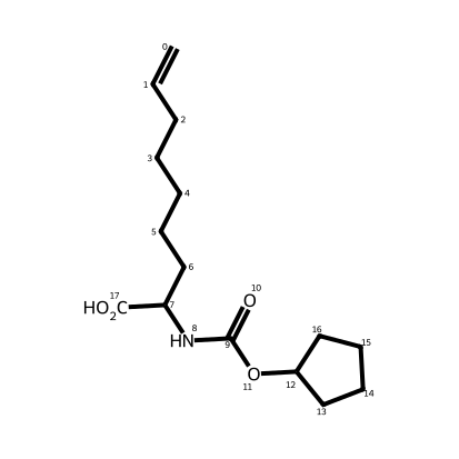 C=CCCCCCC(NC(=O)OC1CCCC1)C(=O)O